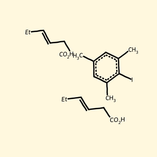 CCC=CCC(=O)O.CCC=CCC(=O)O.Cc1cc(C)c(I)c(C)c1